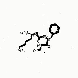 CC(C)CNC(=O)[C@@H](Cc1ccccc1)NC(=O)N[C@@H](CCCCN)C(=O)O